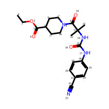 CCOC(=O)C1CCN(C(=O)C(C)(C)NC(=O)Nc2ccc(C#N)cc2)CC1